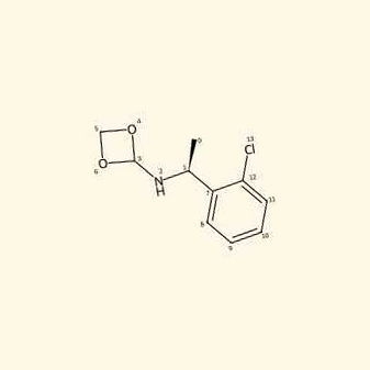 C[C@H](NC1OCO1)c1ccccc1Cl